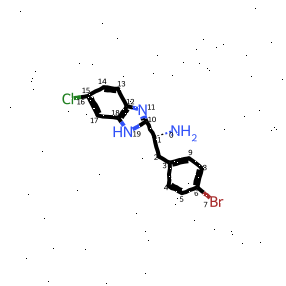 N[C@H](Cc1ccc(Br)cc1)c1nc2ccc(Cl)cc2[nH]1